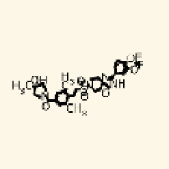 Cc1cc(C(=O)N2CCC(C)(O)CC2)cc(C)c1/C=C/S(=O)(=O)N1CCC2(CC1)N=C(c1ccc3c(c1)OC(F)(F)O3)NC2=O